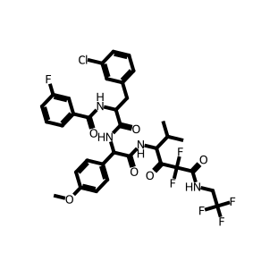 COc1ccc(C(NC(=O)C(Cc2cccc(Cl)c2)NC(=O)c2cccc(F)c2)C(=O)NC(C(=O)C(F)(F)C(=O)NCC(F)(F)F)C(C)C)cc1